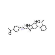 C=C(O)c1ccccc1-c1ccc2[nH]c(/C=C/c3ccc(C(C)=O)cc3)nc2c1